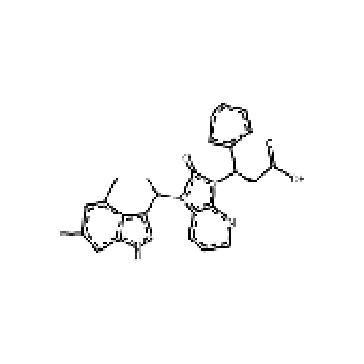 Cc1cc(C)c2c(C(C)n3c(=O)n([C@H](CC(=O)O)c4ccccc4)c4ncccc43)c[nH]c2c1